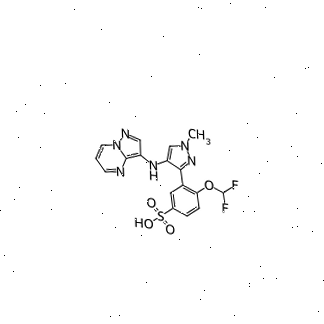 Cn1cc(Nc2cnn3cccnc23)c(-c2cc(S(=O)(=O)O)ccc2OC(F)F)n1